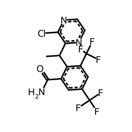 CC(c1nccnc1Cl)c1c(C(N)=O)cc(C(F)(F)F)cc1C(F)(F)F